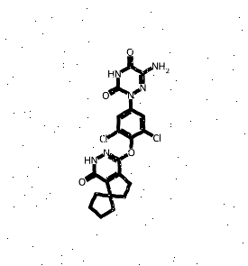 Nc1nn(-c2cc(Cl)c(Oc3n[nH]c(=O)c4c3CCC43CCCC3)c(Cl)c2)c(=O)[nH]c1=O